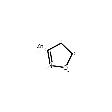 C1=NOCC1.[Zn]